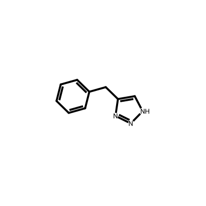 c1ccc(Cc2c[nH]nn2)cc1